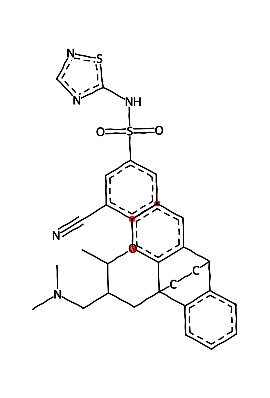 CC(Oc1ccc(S(=O)(=O)Nc2ncns2)cc1C#N)C(CN(C)C)CC12CCC(c3ccccc31)c1ccccc12